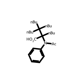 CCCCC(CCCC)(CCCC)C(CCCC)(C(=O)O)N(C(C)=O)c1ccccc1